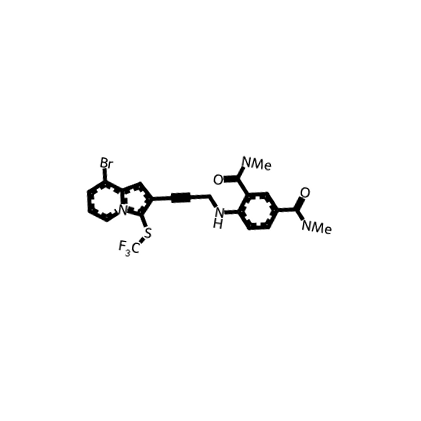 CNC(=O)c1ccc(NCC#Cc2cc3c(Br)cccn3c2SC(F)(F)F)c(C(=O)NC)c1